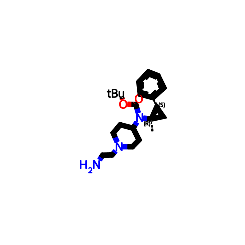 CC(C)(C)OC(=O)N(C1CCN(CCN)CC1)[C@]1(C)C[C@H]1c1ccccc1